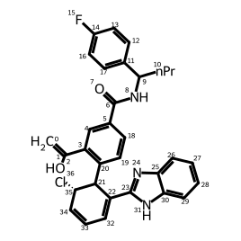 C=C(O)c1cc(C(=O)NC(CCC)c2ccc(F)cc2)ccc1C1C(c2nc3ccccc3[nH]2)=CC=C[C@@H]1Cl